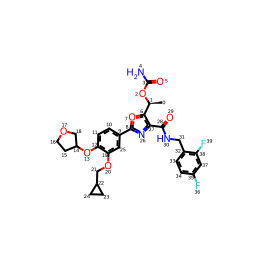 C[C@H](OC(N)=O)c1oc(-c2ccc(OC3CCOC3)c(OCC3CC3)c2)nc1C(=O)NCc1ccc(F)cc1F